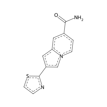 NC(=O)c1ccn2cc(-c3nccs3)cc2c1